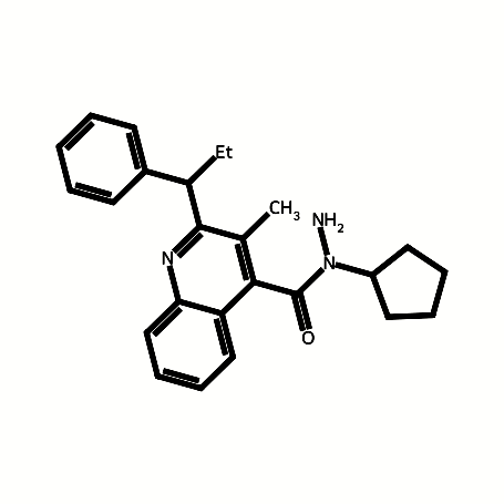 CCC(c1ccccc1)c1nc2ccccc2c(C(=O)N(N)C2CCCC2)c1C